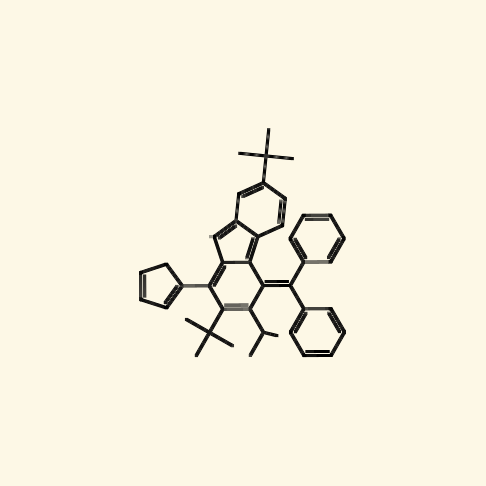 CC(C)c1c(C(C)(C)C)c(C2=CC=CC2)c2c(c1=C(c1ccccc1)c1ccccc1)=c1ccc(C(C)(C)C)cc1=[C]2